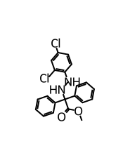 COC(=O)C(NNc1ccc(Cl)cc1Cl)(c1ccccc1)c1ccccc1